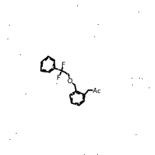 CC(=O)Cc1ccccc1COCC(F)(F)c1ccccc1